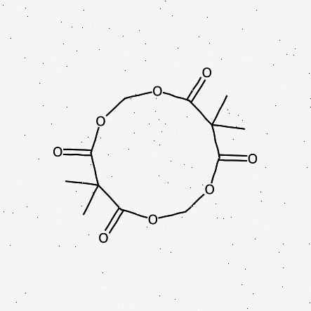 CC1(C)C(=O)OCOC(=O)C(C)(C)C(=O)OCOC1=O